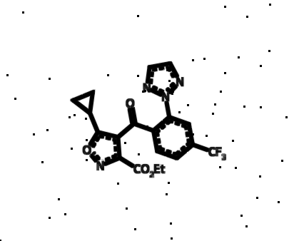 CCOC(=O)c1noc(C2CC2)c1C(=O)c1ccc(C(F)(F)F)cc1-n1nccn1